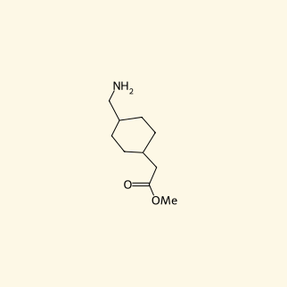 COC(=O)CC1CCC(CN)CC1